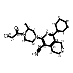 CC1CN(c2nc(C3CCCCC3)c3c(c2C#N)CCOC3)CCN1C(=O)CCl